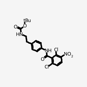 CC(C)(C)OC(=O)NCCc1ccc(NC(=O)c2c(Cl)ccc([N+](=O)[O-])c2Cl)cc1